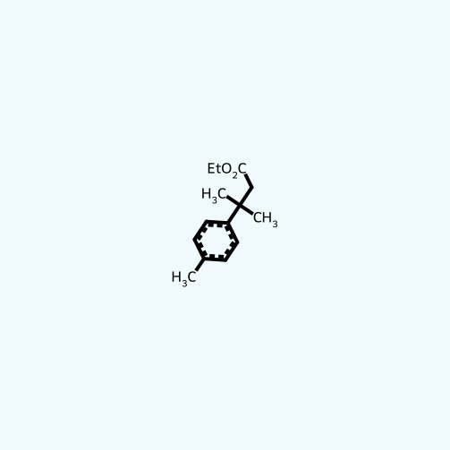 CCOC(=O)CC(C)(C)c1ccc(C)cc1